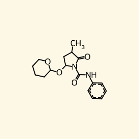 CC1CC(OC2CCCCO2)N(C(=O)Nc2ccccc2)C1=O